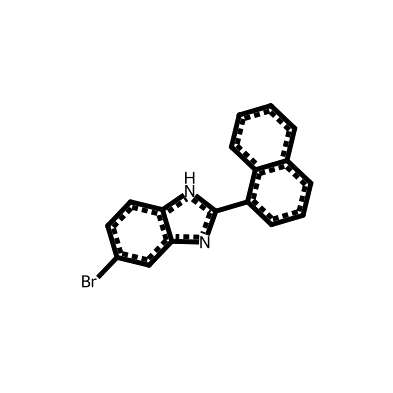 Brc1ccc2[nH]c(-c3cccc4ccccc34)nc2c1